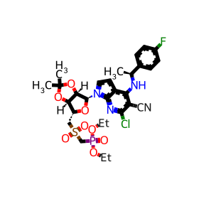 CCOP(=O)(CS(=O)(=O)C[C@H]1O[C@@H](n2ccc3c(N[C@@H](C)c4ccc(F)cc4)c(C#N)c(Cl)nc32)[C@@H]2OC(C)(C)O[C@@H]21)OCC